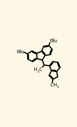 CC1=Cc2c(cccc2C(C)C2c3ccc(C(C)(C)C)cc3-c3cc(C(C)(C)C)ccc32)C1